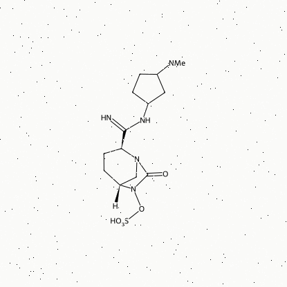 CNC1CCC(NC(=N)[C@@H]2CC[C@@H]3CN2C(=O)N3OS(=O)(=O)O)C1